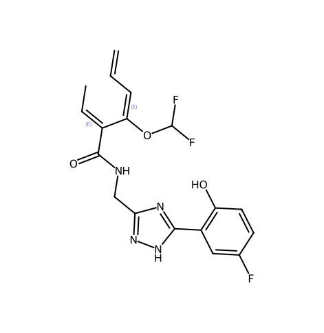 C=C/C=C(OC(F)F)\C(=C/C)C(=O)NCc1n[nH]c(-c2cc(F)ccc2O)n1